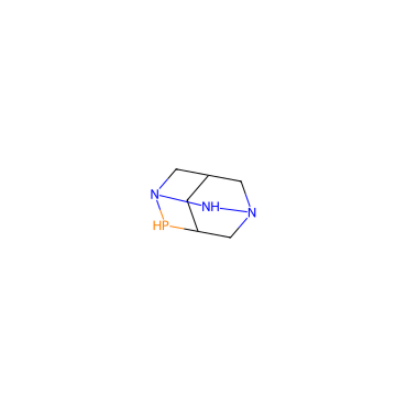 C1C2CN3CC1PN(C2)N3